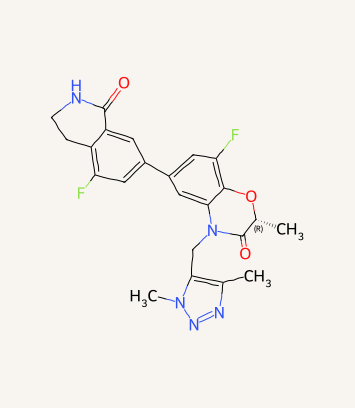 Cc1nnn(C)c1CN1C(=O)[C@@H](C)Oc2c(F)cc(-c3cc(F)c4c(c3)C(=O)NCC4)cc21